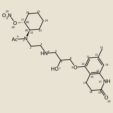 CC(=O)N(CCNCC(O)COc1cc(C)cc2c1CCC(=O)N2)[C@@H]1CCCC[C@H]1O[N+](=O)[O-]